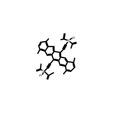 C=C(C)[Si](C#Cc1c2cc3c(C)ccc(C)c3cc2c(C#C[Si](C(=C)C)(C(=C)C)C(C)C)c2cc3c(C)ccc(C)c3cc12)(C(=C)C)C(C)C